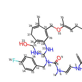 C=C(C)N/C=C/N(C)C(=O)N(Cc1ccc(F)cc1)C(NCO)NC1=C(C)CC=C(C)C(CO/C(C)=C/CC)=C1